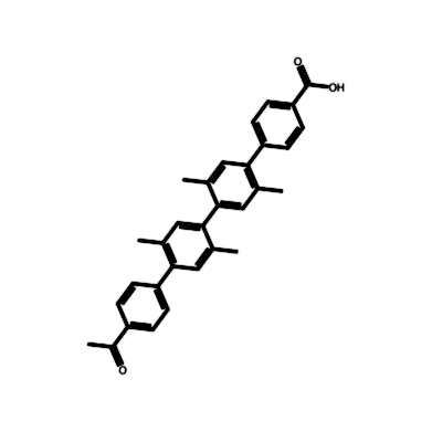 CC(=O)c1ccc(-c2cc(C)c(-c3cc(C)c(-c4ccc(C(=O)O)cc4)cc3C)cc2C)cc1